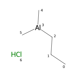 CC[CH2][Al]([CH3])[CH3].Cl